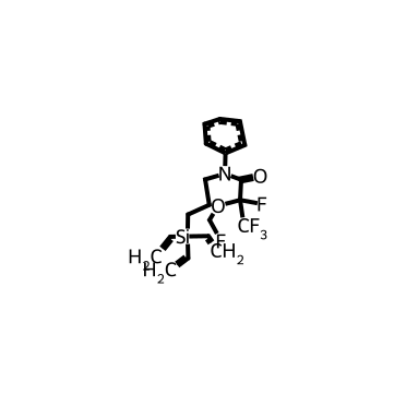 C=C[Si](C=C)(C=C)CCCN(C(=O)C(F)(OCF)C(F)(F)F)c1ccccc1